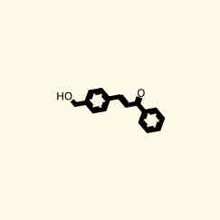 O=C(C=Cc1ccc(CO)cc1)c1ccccc1